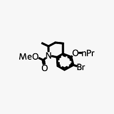 CCCOc1c(Br)ccc2c1CCC(C)N2C(=O)OC